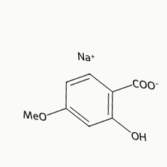 COc1ccc(C(=O)[O-])c(O)c1.[Na+]